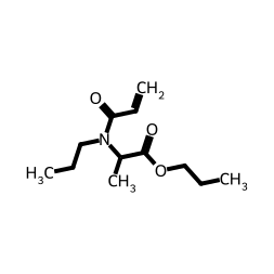 C=CC(=O)N(CCC)C(C)C(=O)OCCC